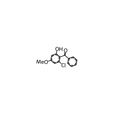 COc1cc(O)c(C(=O)c2ccccc2)c(Cl)c1